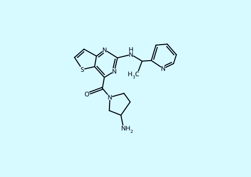 CC(Nc1nc(C(=O)N2CCC(N)C2)c2sccc2n1)c1ccccn1